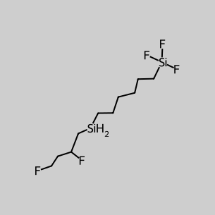 FCCC(F)C[SiH2]CCCCCC[Si](F)(F)F